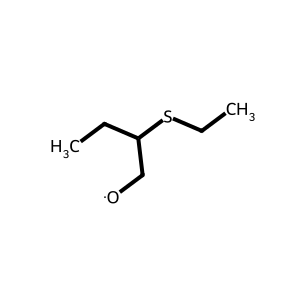 CCSC(CC)C[O]